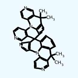 CC1(C)c2cnccc2N2c3ccncc3C3(c4cnccc4N4c5ccncc5C(C)(C)c5cccc3c54)c3cccc1c32